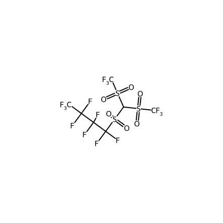 O=S(=O)(C(S(=O)(=O)C(F)(F)F)S(=O)(=O)C(F)(F)C(F)(F)C(F)(F)C(F)(F)F)C(F)(F)F